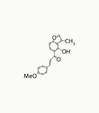 COc1ccc(/C=C/C(=O)c2ccc3occ(C)c3c2O)cc1